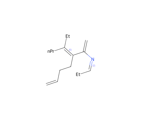 C=CCC/C(C(=C)/N=C\CC)=C(/CC)CCC